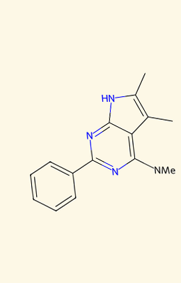 CNc1nc(-c2ccccc2)nc2[nH]c(C)c(C)c12